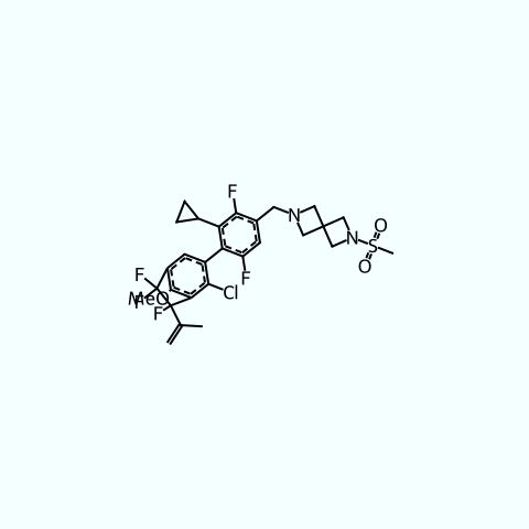 C=C(C)C1(F)c2c(Cl)c(-c3c(F)cc(CN4CC5(C4)CN(S(C)(=O)=O)C5)c(F)c3C3CC3)cc(c2OC)C1(F)F